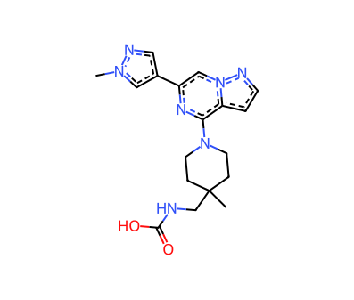 Cn1cc(-c2cn3nccc3c(N3CCC(C)(CNC(=O)O)CC3)n2)cn1